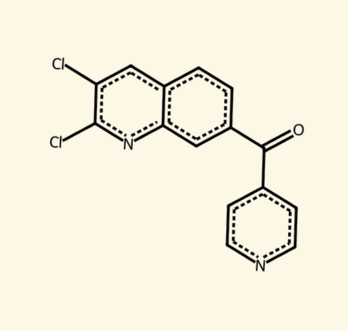 O=C(c1ccncc1)c1ccc2cc(Cl)c(Cl)nc2c1